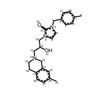 Cc1ccc(Cn2ccn(CC(O)CN3CCc4ccc(C)cc4C3)c2=O)cc1